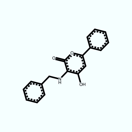 O=c1oc(-c2ccccc2)cc(O)c1NCc1ccccc1